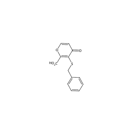 O=C(O)c1occc(=O)c1SCc1ccccc1